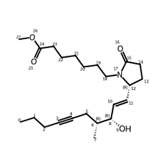 CCCC#CC[C@@H](C)[C@@H](O)C=C[C@H]1CCC(=O)N1CCCCCCC(=O)OC